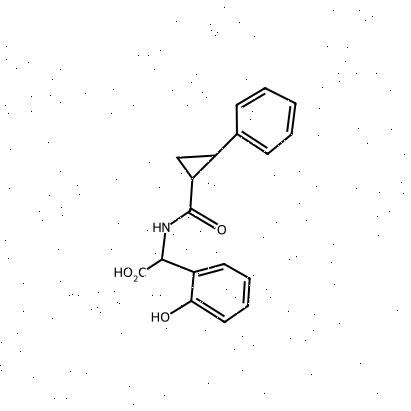 O=C(O)C(NC(=O)C1CC1c1ccccc1)c1ccccc1O